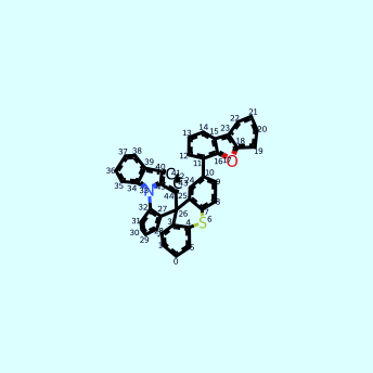 c1ccc2c(c1)Sc1ccc(-c3cccc4c3oc3ccccc34)cc1C21c2ccccc2-n2c3ccccc3c3cccc1c32